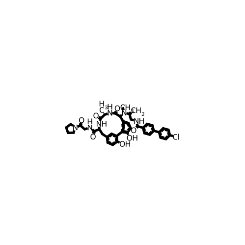 C=C(CNC(=O)c1ccc(-c2ccc(Cl)cc2)cc1)N(C)C1C(=O)N[C@@H](C)C(=O)NC(C(=O)NCC(=O)N2CCCC2)Cc2ccc(O)c(c2)-c2cc1ccc2O